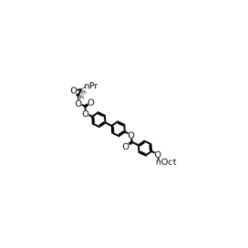 CCCCCCCCOc1ccc(C(=O)Oc2ccc(-c3ccc(OC(=O)O[C@H]4O[C@@H]4CCC)cc3)cc2)cc1